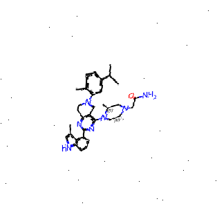 Cc1ccc(C(C)C)cc1N1CCc2nc(-c3cccc4[nH]cc(C)c34)nc(N3C[C@@H](C)N(CC(N)=O)C[C@@H]3C)c2C1